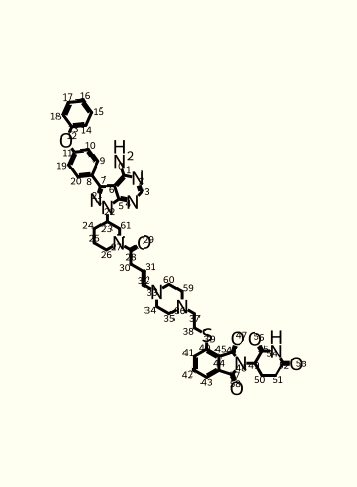 Nc1ncnc2c1c(-c1ccc(Oc3ccccc3)cc1)nn2C1CCCN(C(=O)CCCN2CCN(CCSc3cccc4c3C(=O)N(C3CCC(=O)NC3=O)C4=O)CC2)C1